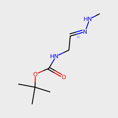 CN/N=C/CNC(=O)OC(C)(C)C